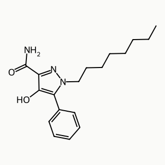 CCCCCCCCn1nc(C(N)=O)c(O)c1-c1ccccc1